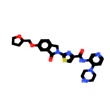 O=C(Nc1cnccc1N1CCNCC1)c1csc(N2Cc3ccc(OCC4CCCO4)cc3C2=O)n1